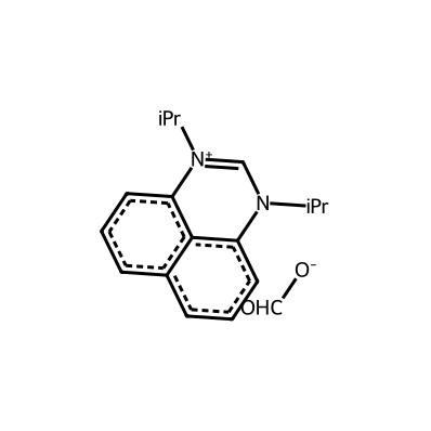 CC(C)N1C=[N+](C(C)C)c2cccc3cccc1c23.O=C[O-]